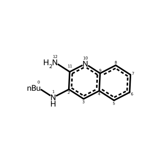 CCCCNc1cc2ccccc2nc1N